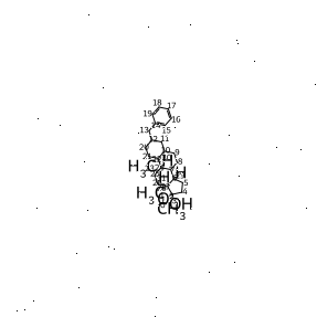 COC1(O)CC[C@H]2[C@@H]3CCC4CC(Cc5ccccc5)CC[C@]4(C)[C@@H]3CC[C@@]21C